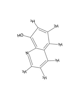 [2H]c1nc2c(O)c([2H])c([2H])c([2H])c2c([2H])c1[2H]